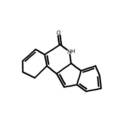 O=C1NC2C(=Cc3ccccc32)C2=C1C=CCC2